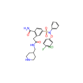 Cl.NC(=O)c1ccc(S(=O)(=O)N(Oc2ccc(F)cc2)c2ccccc2)cc1CC(=O)NCC1CCNCC1